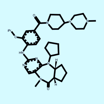 CC(C)Oc1cc(C(=O)N2CCC(N3CCN(C)CC3)CC2)ccc1Nc1ncc2c(n1)N(C1CCCC1)[C@@H]1CCC[C@@H]1C(=O)N2C